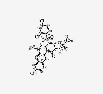 CC(C)N1CC2N(C(=O)C(NS(=O)(=O)C3CC3)CN2S(=O)(=O)c2ccc(Cl)cc2Cl)C(Cc2ccc(Cl)cc2)C1=O